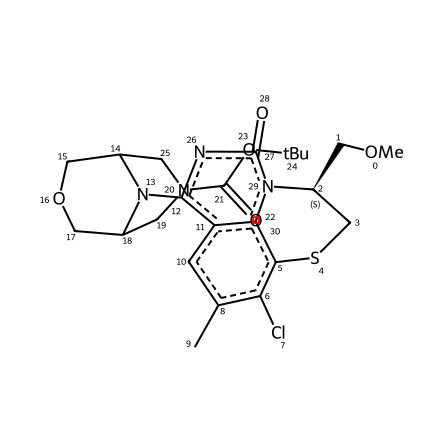 COC[C@H]1CSc2c(Cl)c(C)cc3c(N4C5COCC4CN(C(=O)OC(C)(C)C)C5)nc(=O)n1c23